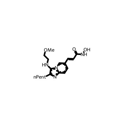 CCCCCc1nc2ccc(C=CC(=O)NO)cn2c1NCCOC